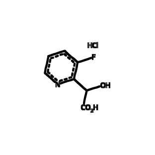 Cl.O=C(O)C(O)c1ncccc1F